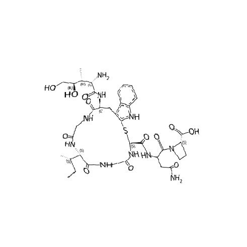 CC[C@H](C)[C@@H]1NC(=O)CNC(=O)[C@@H](NC(=O)[C@@H](N)[C@@H](C)[C@@H](O)CO)Cc2c([nH]c3ccccc23)S[C@@H](C(=O)NC(CC(N)=O)C(=O)N2CC[C@H]2C(=O)O)NC(=O)CNC1=O